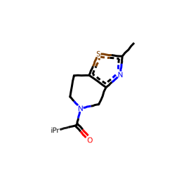 Cc1nc2c(s1)CCN(C(=O)C(C)C)C2